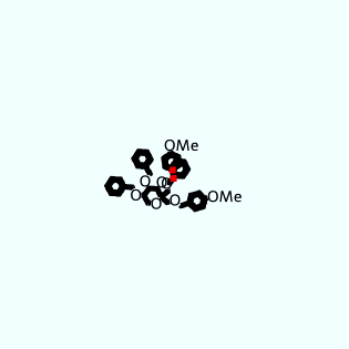 COc1ccc(COCC2(COCc3ccc(OC)cc3)OCC(OCc3ccccc3)[C@H](OCc3ccccc3)[C@@H]2OCc2ccccc2)cc1